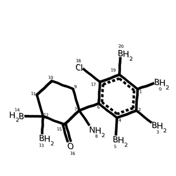 Bc1c(B)c(B)c(C2(N)CCCC(B)(B)C2=O)c(Cl)c1B